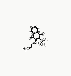 C=CCNC1=C(N(C)C(C)=O)C(=O)c2ccccc2C1=O